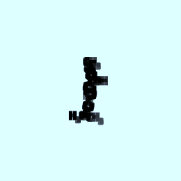 CN(C)C1CCN(c2ccc3nc(-c4cc5cn(C)nc5cc4O)ccc3n2)CC1